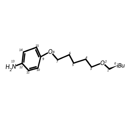 CC[C@H](C)COCCCCCOc1ccc(N)cc1